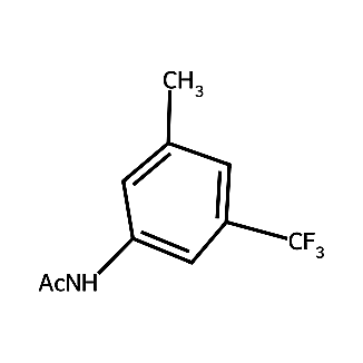 CC(=O)Nc1cc(C)cc(C(F)(F)F)c1